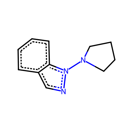 c1ccc2c(c1)cnn2N1CCCC1